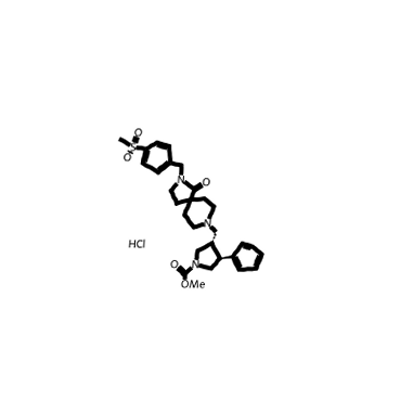 COC(=O)N1C[C@H](CN2CCC3(CC2)CCN(Cc2ccc(S(C)(=O)=O)cc2)C3=O)[C@@H](c2ccccc2)C1.Cl